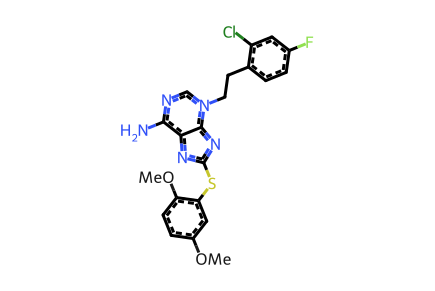 COc1ccc(OC)c(Sc2nc3c(N)ncn(CCc4ccc(F)cc4Cl)c-3n2)c1